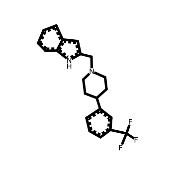 FC(F)(F)c1cccc(C2CCN(Cc3cc4ccccc4[nH]3)CC2)c1